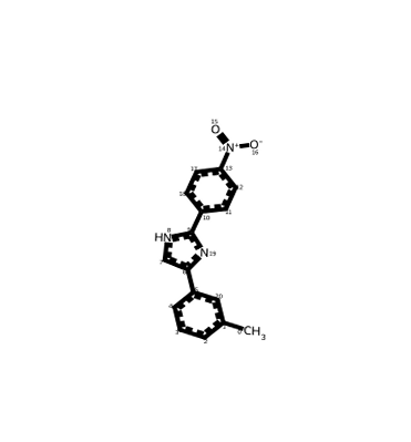 Cc1cccc(-c2c[nH]c(-c3ccc([N+](=O)[O-])cc3)n2)c1